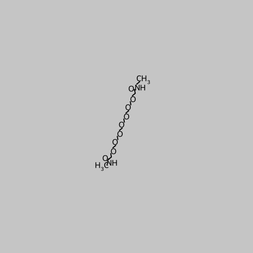 CCCNC(=O)CCOCCOCCOCCOCCOCCOCCOCCC(=O)NC